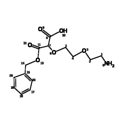 NCCOCCOC(C(=O)O)C(=O)OCc1ccccc1